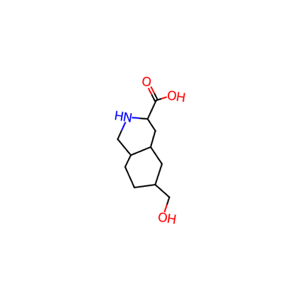 O=C(O)C1CC2CC(CO)CCC2CN1